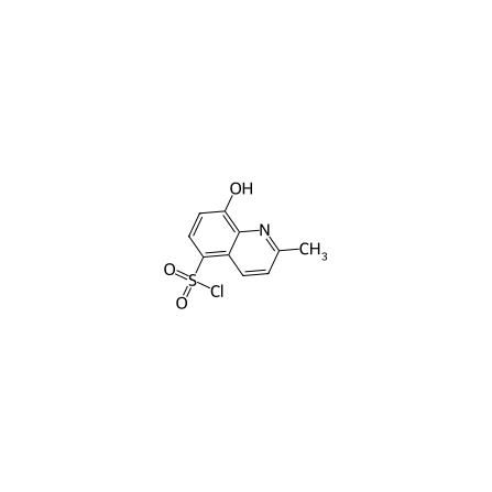 Cc1ccc2c(S(=O)(=O)Cl)ccc(O)c2n1